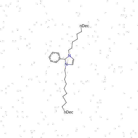 CCCCCCCCCCCCCCCCCCCN1C=CN(CCCCCCCCCCCCCCCC)C1c1ccccc1